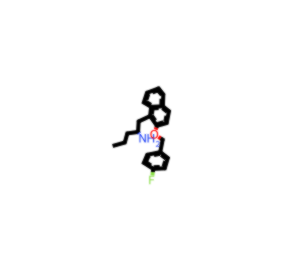 CCCC(N)Cc1c(OCc2ccc(F)cc2)ccc2ccccc12